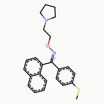 CSc1ccc(/C(=N/OCCN2CCCC2)c2cccc3ccccc23)cc1